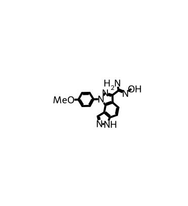 COc1ccc(-n2nc(C(N)=NO)c3ccc4[nH]ncc4c32)cc1